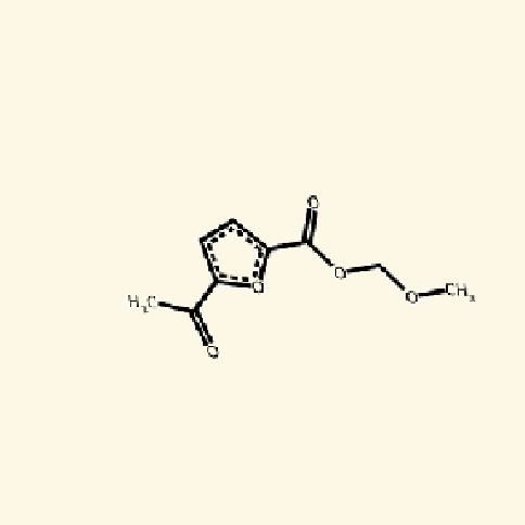 COCOC(=O)c1ccc(C(C)=O)o1